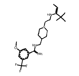 C/C=C(\NCCN1CCC(CNC(=N)c2cc(OC)cc(C(F)(F)F)c2)CC1)C(C)(C)C